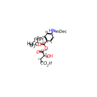 CCCC.CCCC.CCCCCCCCCCNc1ccc(C(=O)OC(=O)C(O)CC(=O)O)cc1